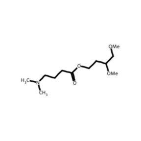 COCC(CCOC(=O)CCCN(C)C)OC